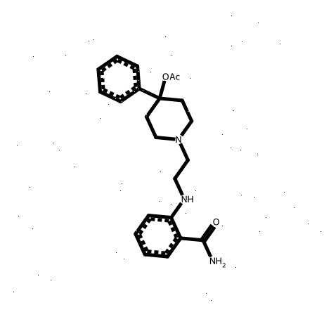 CC(=O)OC1(c2ccccc2)CCN(CCNc2ccccc2C(N)=O)CC1